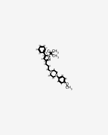 COc1ccc(N2CCN(CCCc3cc(-c4ccccc4)n(C(C)(C)C)n3)CC2)cc1